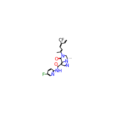 C=C/C(=C\C=C(/C)N1C[C@H](C)n2ncc(C(=O)Nc3ccc(F)cn3)c2C1=O)C(F)(F)F